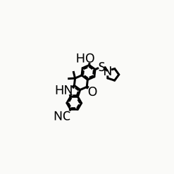 CC1(C)c2cc(O)c(SN3CCCC3)cc2C(=O)c2c1[nH]c1cc(C#N)ccc21